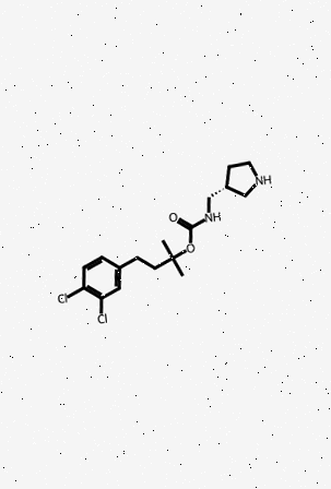 CC(C)(CCc1ccc(Cl)c(Cl)c1)OC(=O)NC[C@@H]1CCNC1